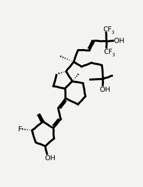 C=C1/C(=C\C=C2/CCC[C@@]3(C)C2CC[C@@H]3[C@@](C)(C/C=C/C(O)(C(F)(F)F)C(F)(F)F)CCCC(C)(C)O)CC(O)C[C@@H]1F